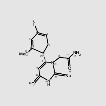 COC1=CC(F)=CC[C@@H]1c1cc(=O)[nH]c(=S)n1CC(N)=O